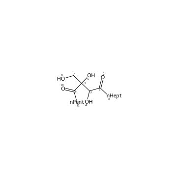 CCCCCCCC(=O)C(O)C(O)(CO)C(=O)CCCCC